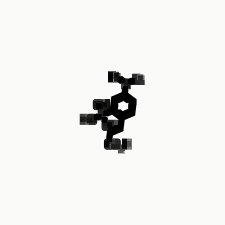 CCN(CC)c1ccc(C=CC(=O)O)c([PH](O)(O)O)c1